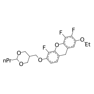 CCCC1OCC(COc2ccc3c(c2F)Oc2c(cc(OCC)c(F)c2F)C3)CO1